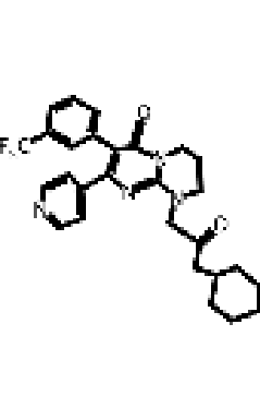 O=C(CC1CCCCC1)CN1CCCn2c1nc(-c1ccncc1)c(-c1cccc(C(F)(F)F)c1)c2=O